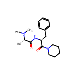 CCC(C)[C@@H](C(=O)N[C@@H](Cc1ccccc1)C(=O)N1CCCCC1)N(C)C(C)=O